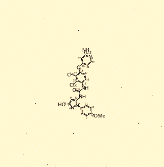 COc1ccc(-n2nc(O)cc2NC(=O)Nc2ccc(Oc3ccnc(N)c3)c(Cl)c2Cl)cc1